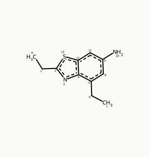 CCc1nc2c(CC)cc(N)cc2s1